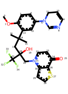 COc1ccc(N2C=NC=CC2)cc1C(C)(C)CC(O)(Cn1ccc(=O)c2sccc21)C(F)(F)F